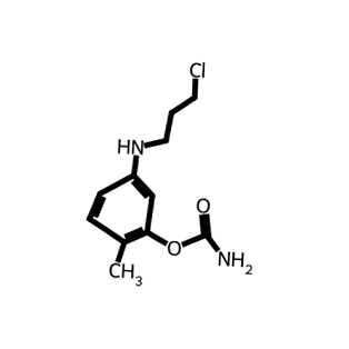 Cc1ccc(NCCCCl)cc1OC(N)=O